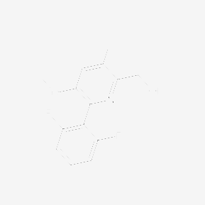 COc1cc(F)c(CO)nc1-c1c(F)cccc1F